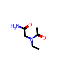 CCN(CC(N)=O)C(C)=O